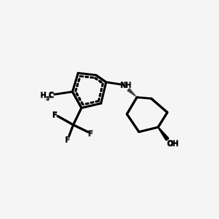 Cc1ccc(N[C@H]2CC[C@H](O)CC2)cc1C(F)(F)F